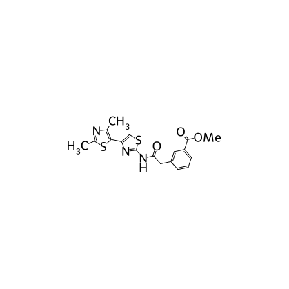 COC(=O)c1cccc(CC(=O)Nc2nc(-c3sc(C)nc3C)cs2)c1